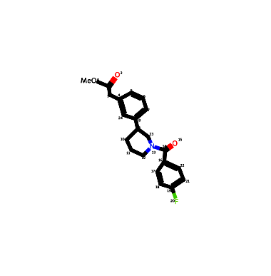 COC(=O)Cc1cccc(C2CCCN(C(=O)c3ccc(F)cc3)C2)c1